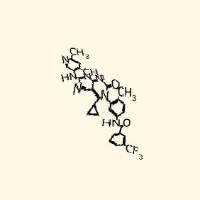 Cc1cc(C)c(Nc2ncc3c(C4CC4)n(-c4cc(NC(=O)c5cccc(C(F)(F)F)c5)ccc4C)c(=O)nc3n2)cn1